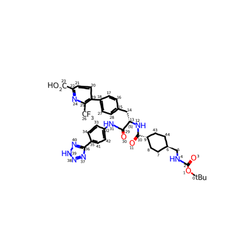 CC(C)(C)OC(=O)NC[C@H]1CC[C@H](C(=O)N[C@@H](Cc2ccc(-c3ccc(C(=O)O)nc3C(F)(F)F)cc2)C(=O)Nc2ccc(-c3nn[nH]n3)cc2)CC1